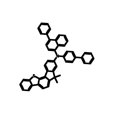 CC1(C)c2cc(N(c3ccc(-c4ccccc4)cc3)c3ccc(-c4ccccc4)c4ccccc34)ccc2-c2c1ccc1c2sc2ccccc21